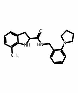 Cc1cccc2c1NC(C(=O)NCc1ccccc1N1CCCC1)C2